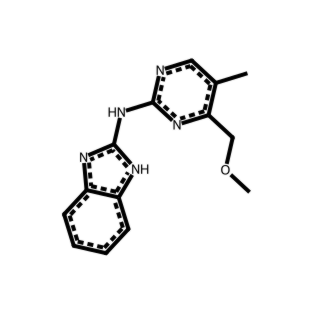 COCc1nc(Nc2nc3ccccc3[nH]2)ncc1C